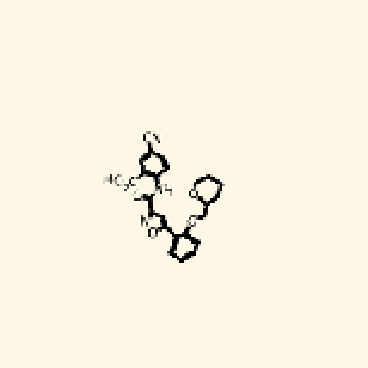 N#Cc1ccc(NC(=O)c2cc(-c3ccccc3OCC3CCCCO3)on2)c(C(=O)O)c1